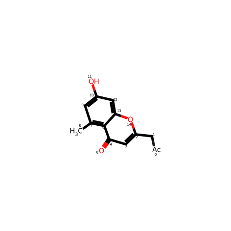 CC(=O)Cc1cc(=O)c2c(C)cc(O)cc2o1